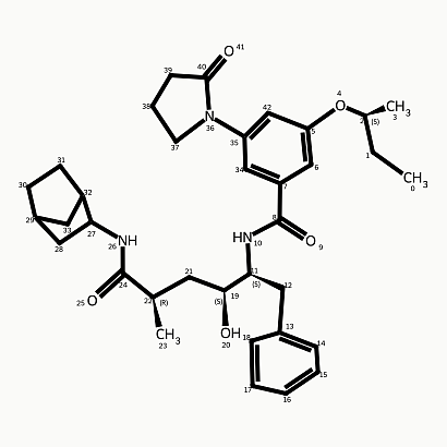 CC[C@H](C)Oc1cc(C(=O)N[C@@H](Cc2ccccc2)[C@@H](O)C[C@@H](C)C(=O)NC2CC3CCC2C3)cc(N2CCCC2=O)c1